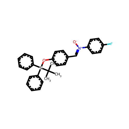 CC(C)(C)[Si](Oc1ccc(C=[N+]([O-])c2ccc(F)cc2)cc1)(c1ccccc1)c1ccccc1